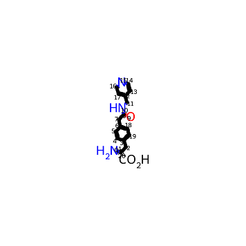 N[C@@H](Cc1ccc(CC(=O)NCc2ccncc2)cc1)C(=O)O